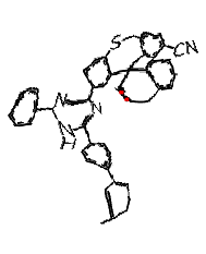 CC1=CC(c2ccc(C3=NC(c4ccc5c(c4)C4(c6ccccc6Cc6ccccc64)c4cc(C#N)ccc4S5)=NC(c4ccccc4)N3)cc2)=CCC1